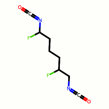 O=C=NCC(F)CCCC(F)N=C=O